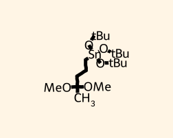 COC(C)(CC[CH2][Sn]([O]C(C)(C)C)([O]C(C)(C)C)[O]C(C)(C)C)OC